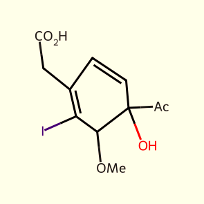 COC1C(I)=C(CC(=O)O)C=CC1(O)C(C)=O